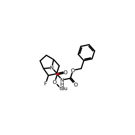 CC(C)(C)OC(=O)N1C2CCC1C(F)C(NC(=O)OCc1ccccc1)C2